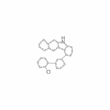 Clc1ccccc1-c1cccc(-c2cccc3[nH]c4cc5ccccc5cc4c23)c1